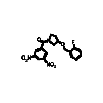 O=C(c1cc([N+](=O)[O-])cc([N+](=O)[O-])c1)N1CCC(OCc2ccccc2F)C1